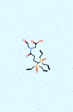 C=CCP(=O)(CC=C)C(CCC(=O)N(CC=O)CC(=O)O)P(=O)(CC=C)CC=C